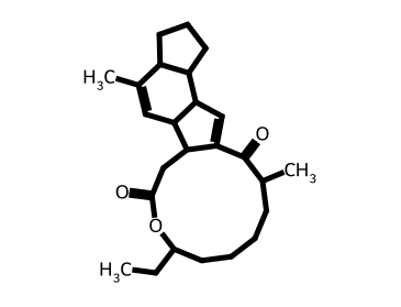 CCC1CCCCC(C)C(=O)C2=CC3C(C=C(C)C4CCCC43)C2CC(=O)O1